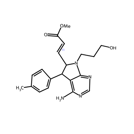 COC(=O)/C=C/C1C(c2ccc(C)cc2)c2c(N)ncnc2N1CCCO